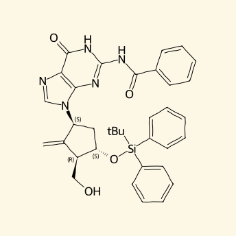 C=C1[C@H](CO)[C@@H](O[Si](c2ccccc2)(c2ccccc2)C(C)(C)C)C[C@@H]1n1cnc2c(=O)[nH]c(NC(=O)c3ccccc3)nc21